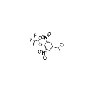 CC(=O)c1cc([N+](=O)[O-])c(OC(=O)C(F)(F)F)c([N+](=O)[O-])c1